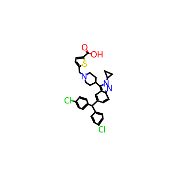 O=C(O)c1ccc(CN2CCC(c3c4cc(C(c5ccc(Cl)cc5)c5ccc(Cl)cc5)ccc4nn3C3CC3)CC2)s1